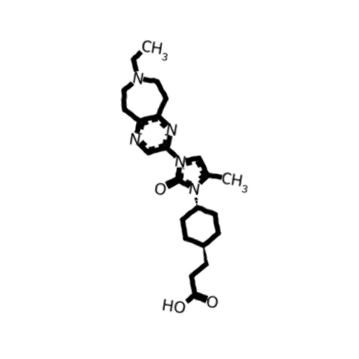 CCN1CCc2ncc(-n3cc(C)n([C@H]4CC[C@H](CCC(=O)O)CC4)c3=O)nc2CC1